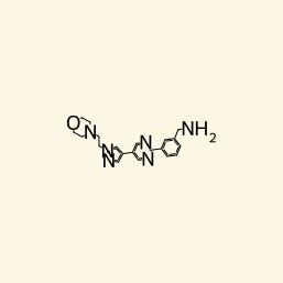 NCc1cccc(-c2ncc(-c3cnn(CCN4CCOCC4)c3)cn2)c1